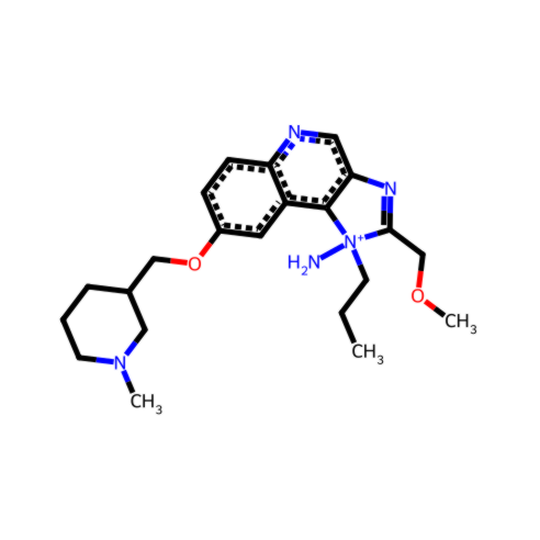 CCC[N+]1(N)C(COC)=Nc2cnc3ccc(OCC4CCCN(C)C4)cc3c21